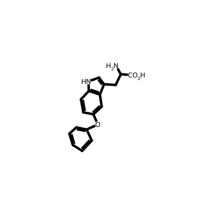 NC(Cc1c[nH]c2ccc(Oc3ccccc3)cc12)C(=O)O